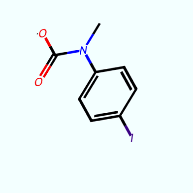 CN(C([O])=O)c1ccc(I)cc1